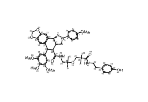 COc1ccc(N2CC3C(=N2)c2cc4c(cc2C(c2cc(OC)c(OC)c(OC)c2)C3C(=O)NCC(C)(C)OCC(C)(C)C(=O)NCCc2ccc(O)cc2)OCO4)cc1